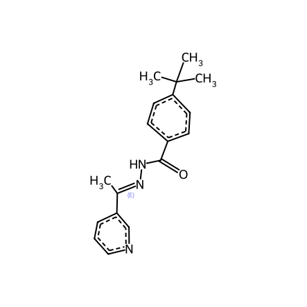 C/C(=N\NC(=O)c1ccc(C(C)(C)C)cc1)c1cccnc1